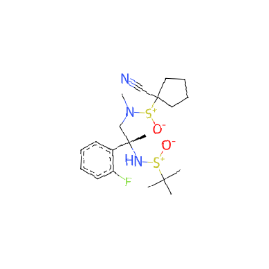 CN(C[C@](C)(N[S+]([O-])C(C)(C)C)c1ccccc1F)[S+]([O-])C1(C#N)CCCC1